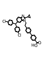 O=C(O)c1ccc(-c2ccc(CCn3c(C4CC4)nc4ccc(C(c5ccc(Cl)cc5)c5ccc(Cl)cc5)cc43)cc2)cc1